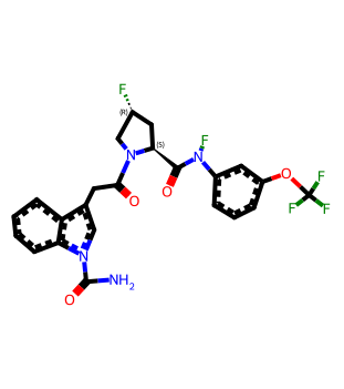 NC(=O)n1cc(CC(=O)N2C[C@H](F)C[C@H]2C(=O)N(F)c2cccc(OC(F)(F)F)c2)c2ccccc21